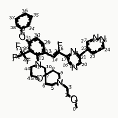 COCCN1CCC2(CC1)CN(c1c(/C=C(\F)c3cncc(-c4ccnnc4)n3)ccc(Oc3ccccc3)c1C(F)(F)F)CCO2